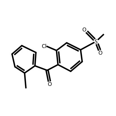 Cc1ccccc1C(=O)c1ccc(S(C)(=O)=O)cc1Cl